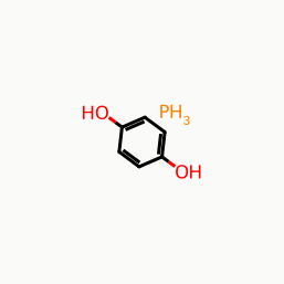 Oc1ccc(O)cc1.P